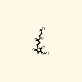 CCOCCNC(=O)CCN1C(=O)CC(SC)C1=O